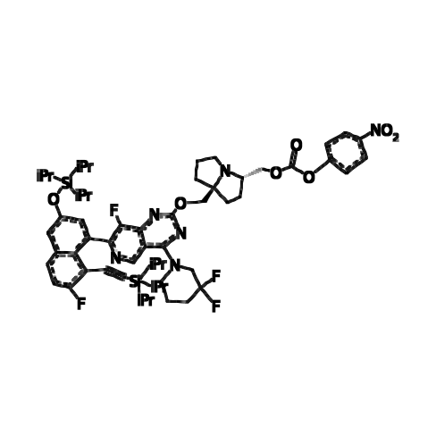 CC(C)[Si](C#Cc1c(F)ccc2cc(O[Si](C(C)C)(C(C)C)C(C)C)cc(-c3ncc4c(N5CCCC(F)(F)C5)nc(OC[C@@]56CCCN5[C@H](COC(=O)Oc5ccc([N+](=O)[O-])cc5)CC6)nc4c3F)c12)(C(C)C)C(C)C